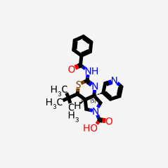 CC(C)(C)C1SC(NC(=O)c2ccccc2)=N[C@@]2(c3cccnc3)CN(C(=O)O)C[C@@H]12